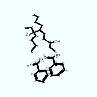 CCCCC(CCC(O)CC)C(O)(CC)CCCC.O=C(O)c1ccccc1.O=C(O)c1ccccc1